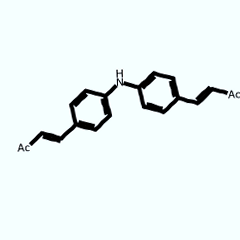 CC(=O)/C=C/c1ccc(Nc2ccc(/C=C/C(C)=O)cc2)cc1